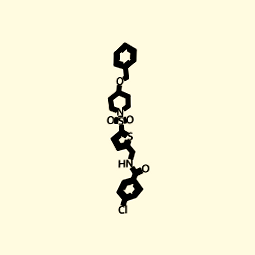 O=C(NCc1ccc(S(=O)(=O)N2CCC(OCc3ccccc3)CC2)s1)c1ccc(Cl)cc1